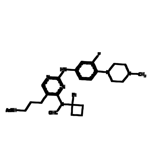 CCC1(N(C=O)c2nc(Nc3ccc(N4CCN(C)CC4)c(F)c3)ncc2CCCNC(C)=O)CCC1